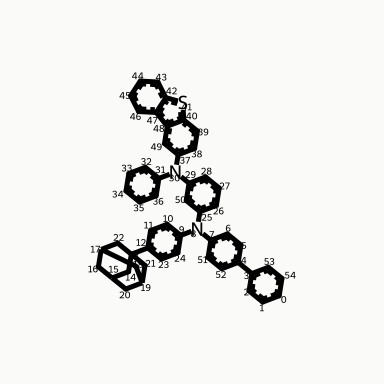 c1ccc(-c2ccc(N(c3ccc(C45CC6CC(CC(C6)C4)C5)cc3)c3cccc(N(c4ccccc4)c4ccc5sc6ccccc6c5c4)c3)cc2)cc1